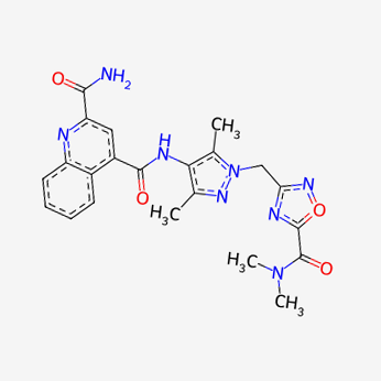 Cc1nn(Cc2noc(C(=O)N(C)C)n2)c(C)c1NC(=O)c1cc(C(N)=O)nc2ccccc12